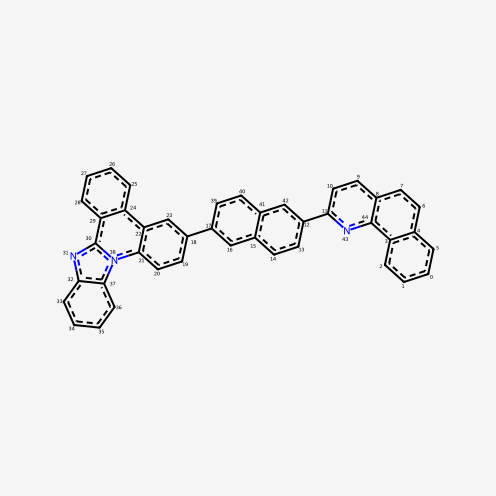 c1ccc2c(c1)ccc1ccc(-c3ccc4cc(-c5ccc6c(c5)c5ccccc5c5nc7ccccc7n65)ccc4c3)nc12